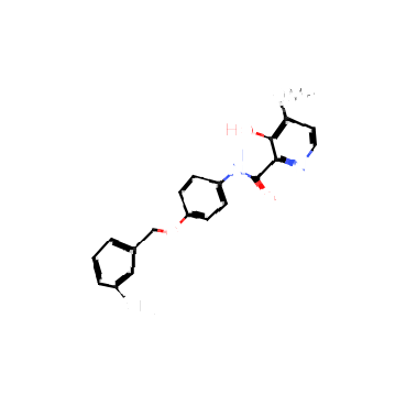 COc1ccnc(C(=O)Nc2ccc(OCc3cccc(C(F)(F)F)c3)cc2)c1O